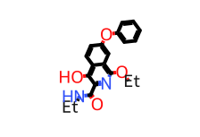 CCNC(=O)c1nc(OCC)c2cc(Oc3ccccc3)ccc2c1O